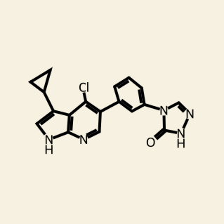 O=c1[nH]ncn1-c1cccc(-c2cnc3[nH]cc(C4CC4)c3c2Cl)c1